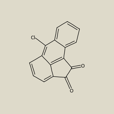 O=C1C(=O)c2c3ccccc3c(Cl)c3cccc1c23